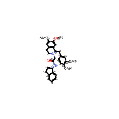 CCOc1cc2c(cc1OC)CCN(CC(=O)NC1CCc3ccccc31)C2Cc1ccc(OC)c(OC)c1